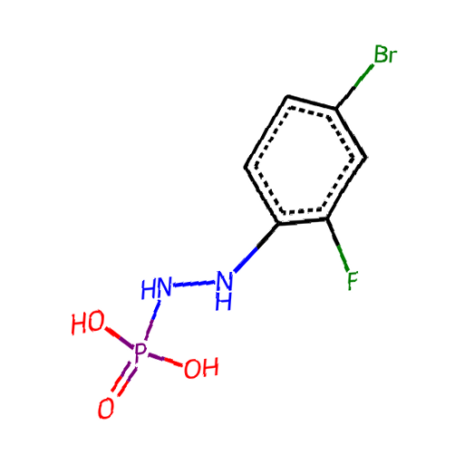 O=P(O)(O)NNc1ccc(Br)cc1F